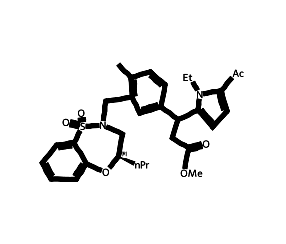 CCC[C@@H]1CN(Cc2cc(C(CC(=O)OC)c3ccc(C(C)=O)n3CC)ccc2C)S(=O)(=O)c2ccccc2O1